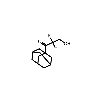 O=C(C(F)(F)CO)C12CC3CC(CC(C3)C1)C2